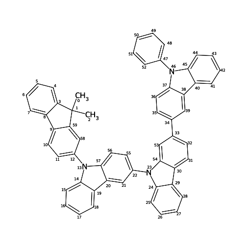 CC1(C)c2ccccc2-c2ccc(-n3c4ccccc4c4cc(-n5c6ccccc6c6ccc(-c7ccc8c(c7)c7ccccc7n8-c7ccccc7)cc65)ccc43)cc21